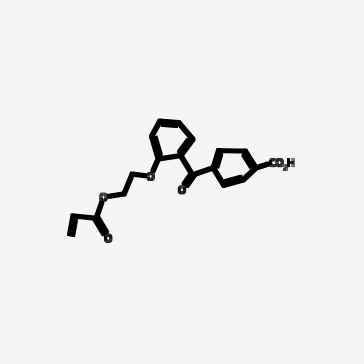 C=CC(=O)OCCOc1ccccc1C(=O)c1ccc(C(=O)O)cc1